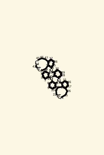 c1ccc2c(c1)B1c3ccccc3N(c3cccc4c3CCCCCCC4)c3cccc(c31)N2c1cccc2c1CCCCCCCC2